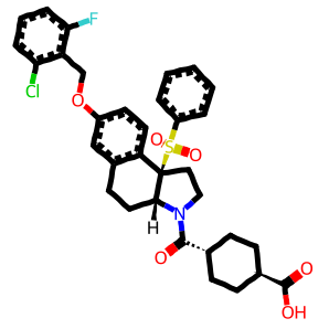 O=C(O)[C@H]1CC[C@H](C(=O)N2CC[C@@]3(S(=O)(=O)c4ccccc4)c4ccc(OCc5c(F)cccc5Cl)cc4CC[C@@H]23)CC1